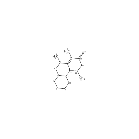 CC1=C2C(C)CC3CCCCC3N2C(C)CC1=O